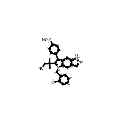 CC(C)(CC#N)c1c(-c2ccc(C(=O)O)cc2)c2cc3[nH]ncc3cc2n1Cc1ccccc1Cl